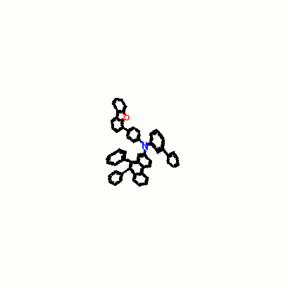 c1ccc(-c2cccc(N(c3ccc(-c4cccc5c4oc4ccccc45)cc3)c3ccc4c(c3)c(-c3ccccc3)c(-c3ccccc3)c3ccccc34)c2)cc1